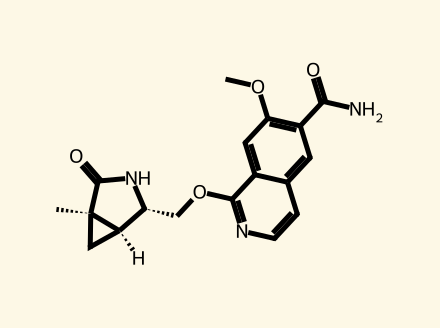 COc1cc2c(OC[C@H]3NC(=O)[C@]4(C)C[C@H]34)nccc2cc1C(N)=O